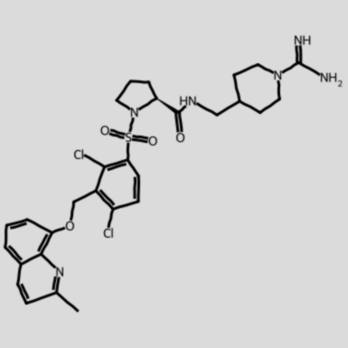 Cc1ccc2cccc(OCc3c(Cl)ccc(S(=O)(=O)N4CCC[C@H]4C(=O)NCC4CCN(C(=N)N)CC4)c3Cl)c2n1